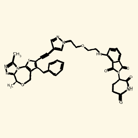 Cc1nnc2n1-c1sc(C#Cc3cnn(CCOCCNc4cccc5c4C(=O)N(C4CCC(=O)NC4=O)C5=O)c3)c(Cc3ccccc3)c1CO[C@H]2C